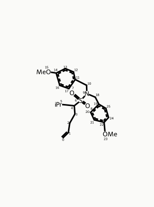 C=CCCC(C(C)C)S(=O)(=O)N(Cc1ccc(OC)cc1)Cc1ccc(OC)cc1